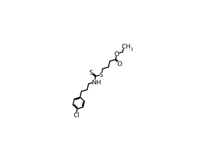 CCOC(=O)CCCSC(=S)NCCCc1ccc(Cl)cc1